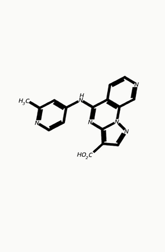 Cc1cc(Nc2nc3c(C(=O)O)cnn3c3cnccc23)ccn1